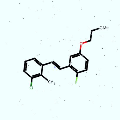 COCCOc1ccc(F)c(/C=C/c2cccc(Cl)c2C)c1